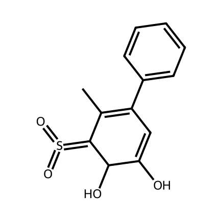 CC1=C(c2ccccc2)C=C(O)C(O)C1=S(=O)=O